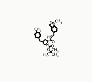 Cc1ccc(CC2C[C@H](C(=O)NCc3ccc4c(cnn4C)c3)N(C(=O)OC(C)(C)C)C2)cc1